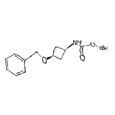 CC(C)(C)OC(=O)N[C@H]1C[C@@H](OCc2ccccc2)C1